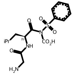 CC(C)C[C@H](NC(=O)CN)C(=O)N(C(=O)O)S(=O)(=O)c1ccccc1